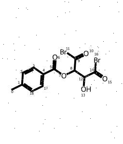 Cc1ccc(C(=O)OC(C(=O)Br)C(O)C(=O)Br)cc1